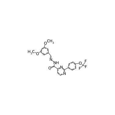 COc1cc(/C=N/NC(=O)c2ccnc(-c3ccc(OC(F)(F)F)cc3)n2)cc(OC)c1